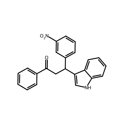 O=C(CC(c1cccc([N+](=O)[O-])c1)c1c[nH]c2ccccc12)c1ccccc1